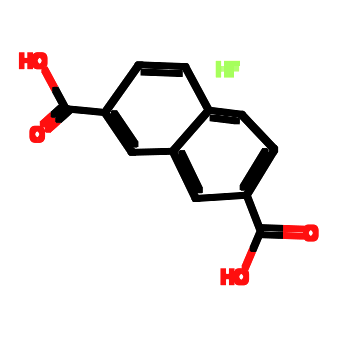 F.O=C(O)c1ccc2ccc(C(=O)O)cc2c1